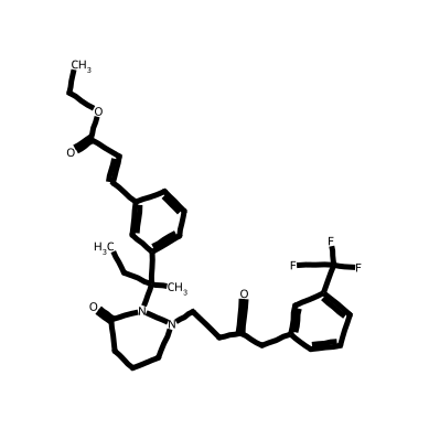 CCOC(=O)C=Cc1cccc(C(C)(CC)N2C(=O)CCCN2CCC(=O)Cc2cccc(C(F)(F)F)c2)c1